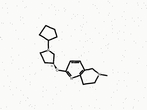 CN1CCc2nc(O[C@H]3CCN(C4CCCC4)C3)ccc2C1